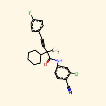 CC(C#Cc1ccc(F)cc1)(C(=O)Nc1ccc(C#N)c(Cl)c1)C1CCCCC1